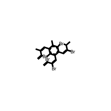 C=C(Br)/C(C)=C\c1c(C)c(C)c(/C=C(/Br)C(C)Br)c(/C=C(/Br)C(=C)Br)c1C